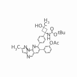 CC(=O)Oc1cccc(-c2cc3cnc4cc(C)nn4c3nc2-c2ccc([C@]3(NC(=O)OC(C)(C)C)C[C@](C)(O)C3)cc2)c1